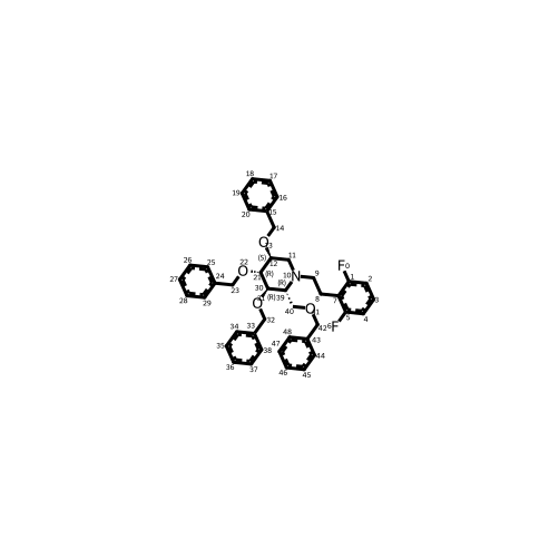 Fc1cccc(F)c1CCN1C[C@H](OCc2ccccc2)[C@@H](OCc2ccccc2)[C@H](OCc2ccccc2)[C@H]1COCc1ccccc1